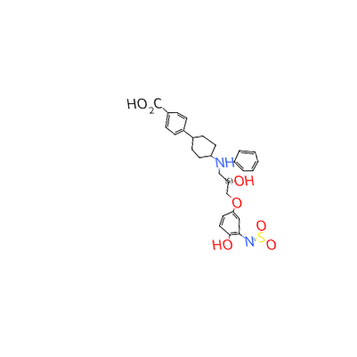 O=C(O)c1ccc(C2CCC(NC[C@H](O)COc3ccc(O)c(N=S(=O)=O)c3)CC2)cc1.c1ccccc1